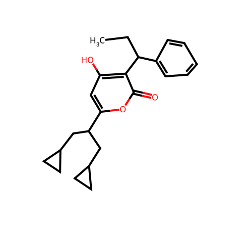 CCC(c1ccccc1)c1c(O)cc(C(CC2CC2)CC2CC2)oc1=O